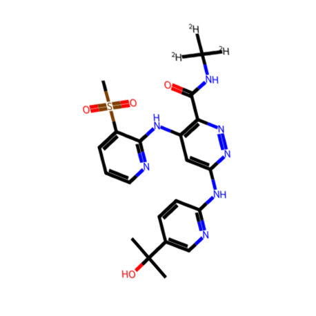 [2H]C([2H])([2H])NC(=O)c1nnc(Nc2ccc(C(C)(C)O)cn2)cc1Nc1ncccc1S(C)(=O)=O